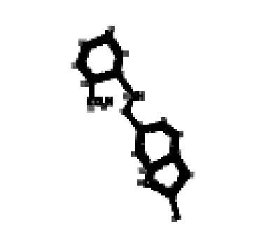 Cc1cc2ccc(CNc3cnccc3C(=O)O)cc2o1